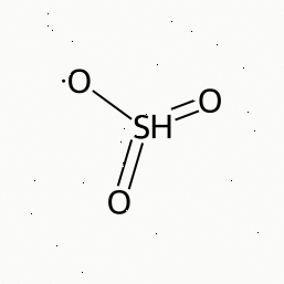 [O][SH](=O)=O